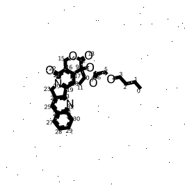 CCCCOCC(=O)OC1(CC)C(=O)OCc2c1cc1n(c2=O)Cc2cc3ccccc3nc2-1